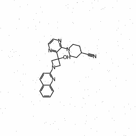 N#CC1CCN(c2nccnc2C2(O)CN(c3ccc4ccccc4n3)C2)CC1